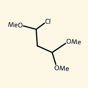 COC(Cl)CC(OC)OC